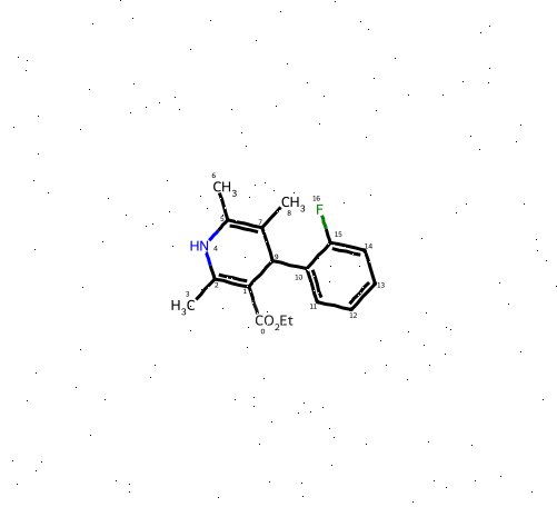 CCOC(=O)C1=C(C)NC(C)=C(C)C1c1ccccc1F